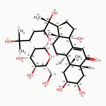 CC(C)(O)CCC(O[C@H]1C[C@@H](O)[C@H](O)[C@@H](CO)O1)[C@](C)(O)[C@H]1CC[C@@]2(O)C3=CC(=O)[C@@H]4C[C@@H](O)[C@@H](O)C[C@]4(C)[C@H]3CC[C@]12C